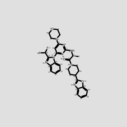 C[C@H](Nc1nc(N2CCOCC2)cc(-n2c(C(F)F)nc3ccccc32)n1)C(=O)N1CCC(c2nc3ccccc3o2)CC1